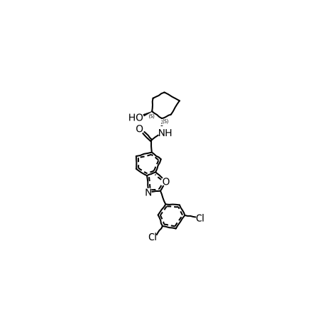 O=C(N[C@H]1CCCC[C@@H]1O)c1ccc2nc(-c3cc(Cl)cc(Cl)c3)oc2c1